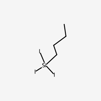 CCCC[Si](I)(I)I